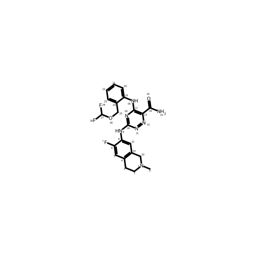 CN1CCc2cc(F)c(Nc3nnc(C(N)=O)c(Nc4ccccc4COC(F)F)n3)cc2C1